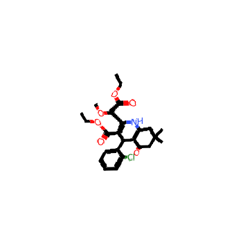 CCOC(=O)C1=C(C(OC)C(=O)OCC)NC2=C(C(=O)CC(C)(C)C2)C1c1ccccc1Cl